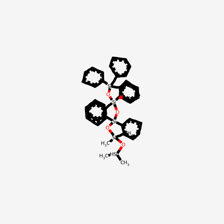 C[SiH](C)O[Si](C)(C)O[Si](O[Si](O[Si](c1ccccc1)(c1ccccc1)c1ccccc1)(c1ccccc1)c1ccccc1)(c1ccccc1)c1ccccc1